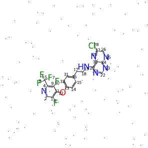 Fc1cnc(C(F)(F)F)c(F)c1Oc1ccc(CCNc2ncnc3ncc(Cl)nc23)cc1